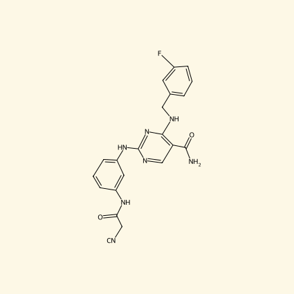 [C-]#[N+]CC(=O)Nc1cccc(Nc2ncc(C(N)=O)c(NCc3cccc(F)c3)n2)c1